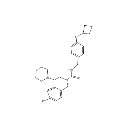 O=C(NCc1ccc(OC2CCC2)cc1)N(CCN1CCCCC1)Cc1ccc(F)cc1